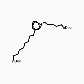 CCCCCCCCCCCCCCCCCCc1ccc[n+](CCCCCCCCCCCCCCC)c1